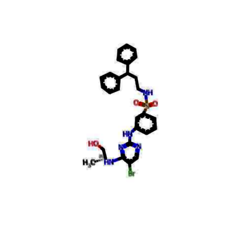 C[C@H](CO)Nc1nc(Nc2cccc(S(=O)(=O)NCCC(c3ccccc3)c3ccccc3)c2)ncc1Br